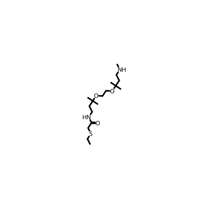 CCSCC(=O)NCCC(C)(C)OCCOC(C)(C)CCNC